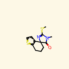 CSC1=NC2(CCCc3sccc32)C(=O)N1C